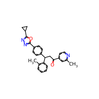 Cc1cc(C(=O)CC(c2ccc(-c3nnc(C4CC4)o3)cc2)c2ccccc2C)ccn1